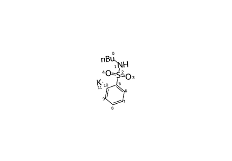 CCCCNS(=O)(=O)c1ccccc1.[K]